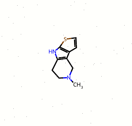 CN1CCc2[nH]c3sccc3c2C1